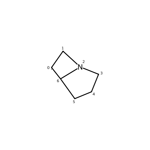 [CH]1CN2CCCC12